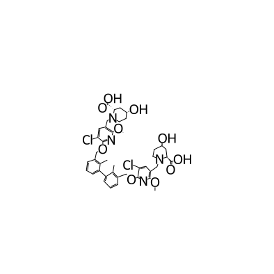 COc1nc(OCc2cccc(-c3cccc(COc4nc(OC)c(CN5CC[C@@H](O)C[C@H]5C(=O)O)cc4Cl)c3C)c2C)c(Cl)cc1CN1CC[C@@H](O)C[C@H]1C(=O)O